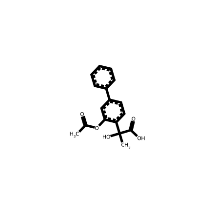 CC(=O)Oc1cc(-c2ccccc2)ccc1C(C)(O)C(=O)O